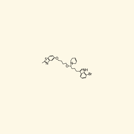 Cc1nc2cc(OCCCCOC(CCCc3c[nH]c4c(Br)cccc34)N3CC=CCC3)ccc2s1